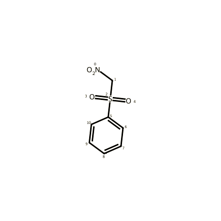 O=[N+]([O-])CS(=O)(=O)c1cc[c]cc1